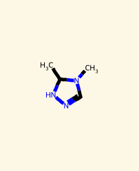 CC1NN=CN1C